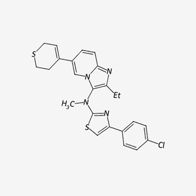 CCc1nc2ccc(C3=CCSCC3)cn2c1N(C)c1nc(-c2ccc(Cl)cc2)cs1